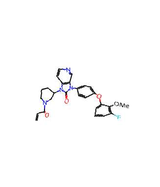 C=CC(=O)N1CCCC(n2c(=O)n(-c3ccc(Oc4cccc(F)c4OC)cc3)c3cnccc32)C1